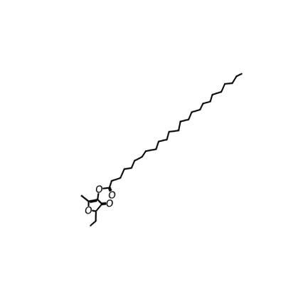 CCCCCCCCCCCCCCCCCCCCCCCCC(=O)OC1=C(C)OC(CC)C1=O